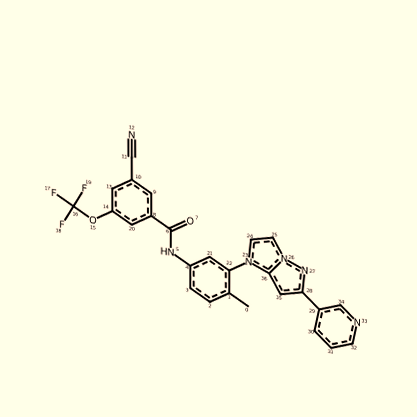 Cc1ccc(NC(=O)c2cc(C#N)cc(OC(F)(F)F)c2)cc1-n1ccn2nc(-c3cccnc3)cc12